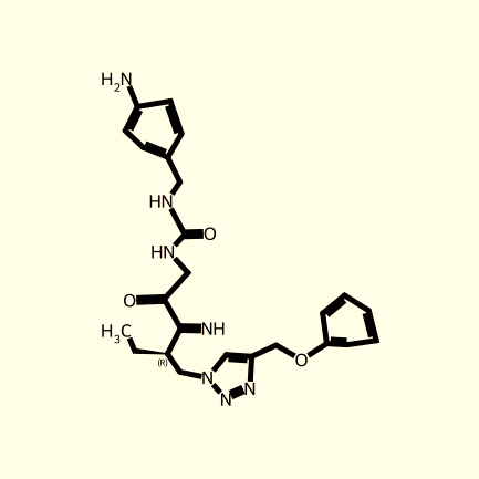 CC[C@H](Cn1cc(COc2ccccc2)nn1)C(=N)C(=O)CNC(=O)NCc1ccc(N)cc1